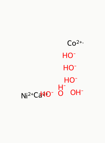 [Ca+2].[Co+2].[Ni+2].[OH-].[OH-].[OH-].[OH-].[OH-].[OH-]